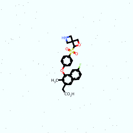 Cc1c(CC(=O)O)cc2ccc(F)cc2c1Oc1ccc(S(=O)(=O)C2OCC23CNC3)cc1